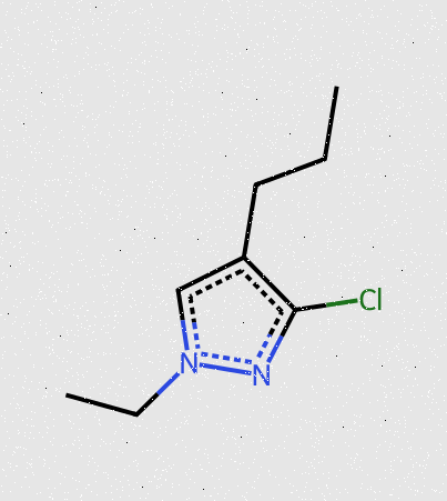 CCCc1cn(CC)nc1Cl